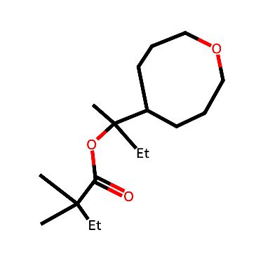 CCC(C)(C)C(=O)OC(C)(CC)C1CCCOCCC1